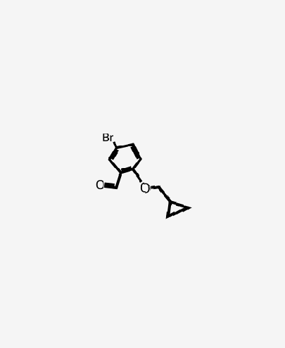 O=Cc1cc(Br)ccc1OCC1CC1